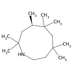 C[C@@H]1CC(C)(C)NCCC(C)(C)CC1(C)C